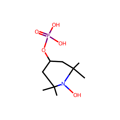 CC1(C)CC(OP(=O)(O)O)CC(C)(C)N1O